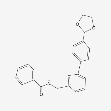 O=C(NCc1cccc(-c2ccc(C3OCCO3)cc2)c1)c1ccccc1